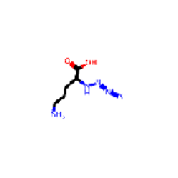 [N-]=[N+]=NNC(CCCN)C(=O)O